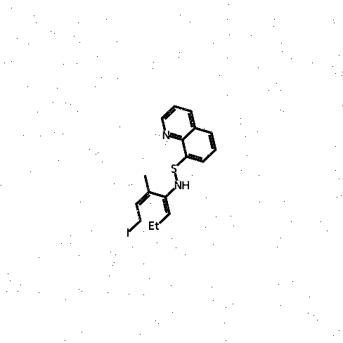 CC/C=C(NSc1cccc2cccnc12)\C(C)=C/CI